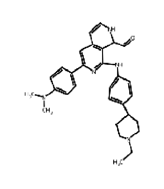 CCN1CCC(c2ccc(Nc3nc(-c4ccc(N(C)C)cc4)cc4c3C(C=O)NC=C4)cc2)CC1